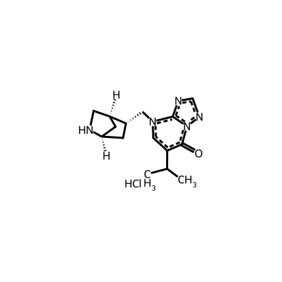 CC(C)c1cn(C[C@@H]2C[C@@H]3C[C@H]2CN3)c2ncnn2c1=O.Cl